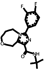 CC(C)(C)NC(=O)c1nc(-c2ccc(F)c(F)c2)n2c1COCCC2